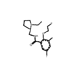 CCN1CCCC1CNC(=O)c1cc(I)cc(C)c1OCCF